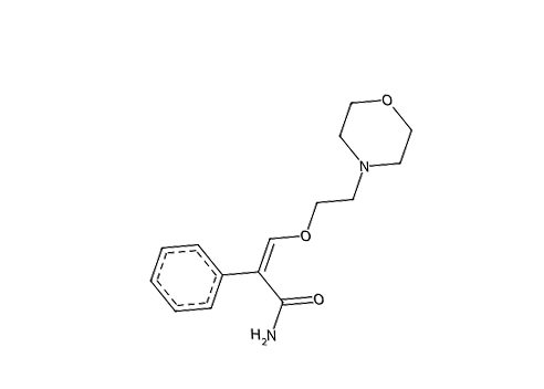 NC(=O)C(=COCCN1CCOCC1)c1ccccc1